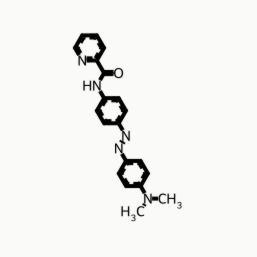 CN(C)c1ccc(/N=N/c2ccc(NC(=O)c3ccccn3)cc2)cc1